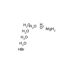 Br.O.O.O.O.O.O.[MgH2]